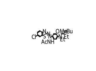 CCCCC(CC)CN(CC)c1cc(NC(C)=O)c(/N=N/c2nc3ccc(Cl)cc3s2)cc1OC